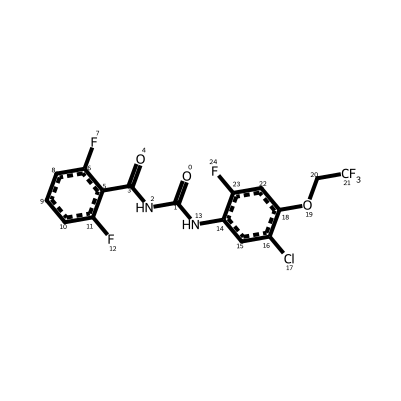 O=C(NC(=O)c1c(F)cccc1F)Nc1cc(Cl)c(OCC(F)(F)F)cc1F